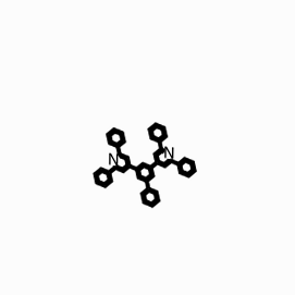 c1ccc(-c2cc(-c3cc(-c4ccccc4)nc(-c4ccccc4)c3)cc(-c3cc(-c4ccccc4)nc(-c4ccccc4)c3)c2)cc1